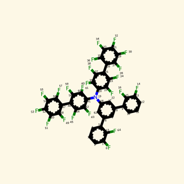 Fc1cccc(-c2cc(-c3cccc(F)c3F)cc(N(c3c(F)c(F)c(-c4c(F)c(F)c(F)c(F)c4F)c(F)c3F)c3c(F)c(F)c(-c4c(F)c(F)c(F)c(F)c4F)c(F)c3F)c2)c1F